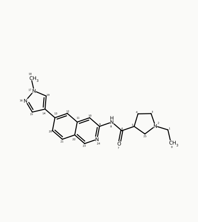 CCN1CCC(C(=O)Nc2cc3cc(-c4cnn(C)c4)ccc3cn2)C1